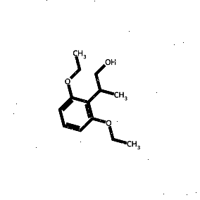 CCOc1cccc(OCC)c1[C](C)CO